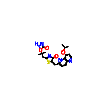 CC(C)Oc1ccnc2ccc(C=C3SC(CC(C)(C)OC(N)=O)=NC3=O)nc12